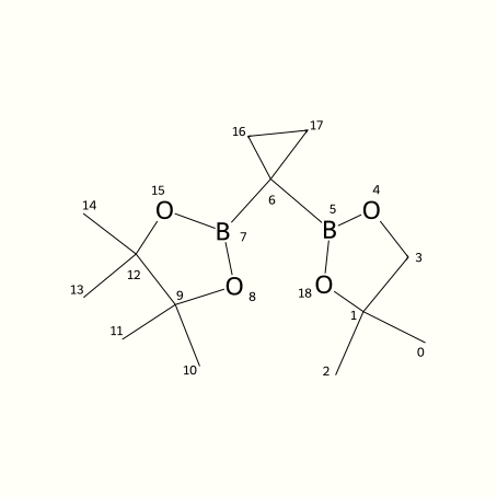 CC1(C)COB(C2(B3OC(C)(C)C(C)(C)O3)CC2)O1